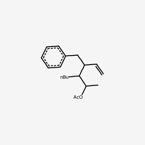 C=CC(Cc1ccccc1)C(CCCC)C(C)OC(C)=O